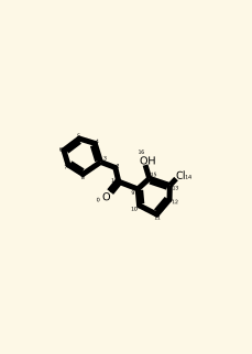 O=C(Cc1ccccc1)c1cccc(Cl)c1O